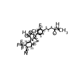 CNC(=O)CCCc1ccc(N2C(=S)N(C3=CC(C(F)(F)F)C(C#N)C=C3F)C(=O)C2(C)C)cc1F